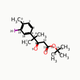 Cc1ccc(C(C)(C)C(=O)CC(=O)OC(C)(C)C)cc1I